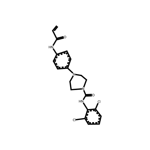 C=CC(=O)Nc1ccc(N2CCN(C(=O)Nc3c(Cl)cccc3Cl)CC2)cc1